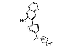 CN(c1ccc(-c2cc3ncccc3cc2O)nn1)[C@@H]1CCC(F)(F)C1